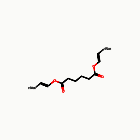 CCCCCCCCCC=COC(=O)CCCCC(=O)OC=CCCCCCCCCC